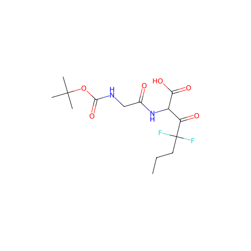 CCCC(F)(F)C(=O)C(NC(=O)CNC(=O)OC(C)(C)C)C(=O)O